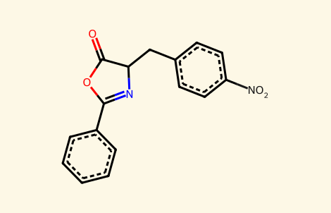 O=C1OC(c2ccccc2)=NC1Cc1ccc([N+](=O)[O-])cc1